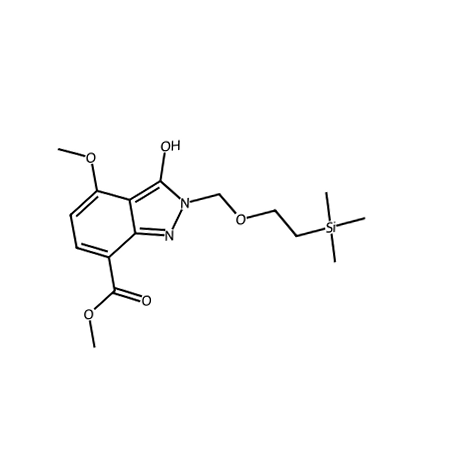 COC(=O)c1ccc(OC)c2c(O)n(COCC[Si](C)(C)C)nc12